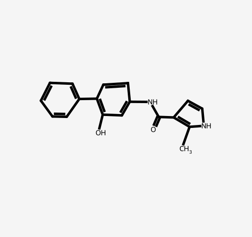 Cc1[nH]ccc1C(=O)Nc1ccc(-c2ccccc2)c(O)c1